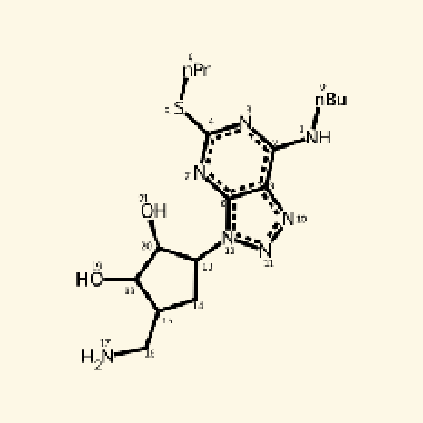 CCCCNc1nc(SCCC)nc2c1nnn2C1CC(CN)C(O)[C@H]1O